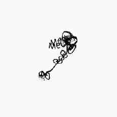 CO[C@H]1C#CCCN(C(=O)CCC(=O)OCCOCCOC(=O)CCCCC(=O)N2CCC#C[C@H](C)[C@@H](C)C2)C[C@@H]1OC